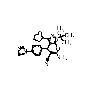 CC(C)(C)n1nc(C2CCCO2)c2c1OC(N)=C(C#N)C2c1ccc(-n2ccnc2)cc1